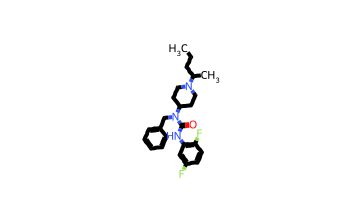 CCCC(C)N1CCC(N(Cc2ccccc2)C(=O)Nc2cc(F)ccc2F)CC1